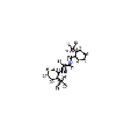 CC(=N\C1CCCCC1C(C)(C)C)/C(C)=N/C1CCCCC1C(C)(C)C